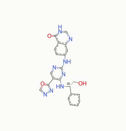 O=c1[nH]cnc2cc(Nc3ncc(-c4nnco4)c(N[C@H](CO)c4ccccc4)n3)ccc12